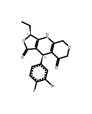 CC[C@@H]1OC(=O)C2=C1NC1=C(C(=O)COC1)[C@H]2c1ccc(F)c(Br)c1